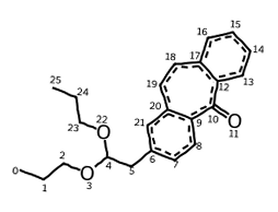 CCCOC(Cc1ccc2c(=O)c3ccccc3ccc2c1)OCCC